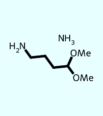 COC(CCCN)OC.N